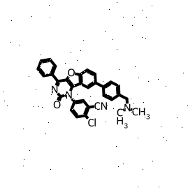 CN(C)Cc1ccc(-c2ccc3oc4c(-c5ccccc5)nc(=O)n(-c5ccc(Cl)c(C#N)c5)c4c3c2)cc1